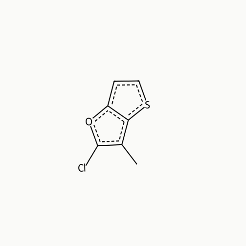 Cc1c(Cl)oc2ccsc12